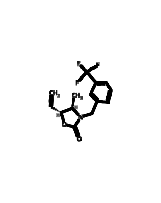 C=C[C@H]1OC(=O)N(Cc2cccc(C(F)(F)F)c2)[C@@H]1C